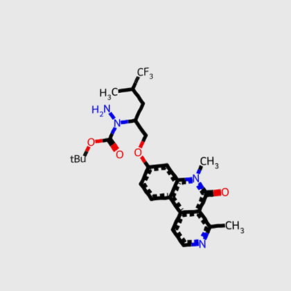 Cc1nccc2c1c(=O)n(C)c1cc(OCC(CC(C)C(F)(F)F)N(N)C(=O)OC(C)(C)C)ccc21